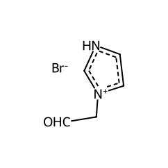 O=CC[n+]1cc[nH]c1.[Br-]